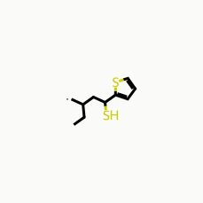 [CH2]C(CC)CC(S)c1cccs1